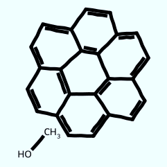 CO.c1cc2ccc3ccc4ccc5ccc6ccc1c1c2c3c4c5c61